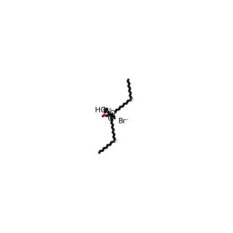 CCCCCCCC/C=C\CCCCCCCCOC(CC)(OCCCCCCCC/C=C\CCCCCCCC)C(CCC)C[N+](C)(C)O.[Br-]